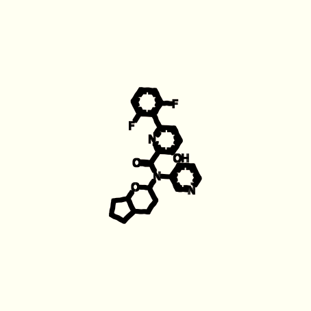 O=C(c1nc(-c2c(F)cccc2F)ccc1O)N(c1cccnc1)C1CCC2CCCC2O1